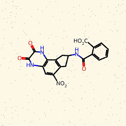 O=C(O)c1ccccc1C(=O)NC1Cc2c([N+](=O)[O-])cc3[nH]c(=O)c(=O)[nH]c3c2C1